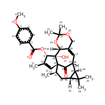 COc1ccc(C(=O)O[C@H]2C(C)=C[C@]34C(=O)[C@@H](C=C5COC(C)(C)O[C@H]5[C@]23O)[C@H]2[C@@H](C[C@H]4C)C2(C)C)cc1